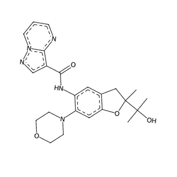 CC(C)(O)C1(C)Cc2cc(NC(=O)c3cnn4cccnc34)c(N3CCOCC3)cc2O1